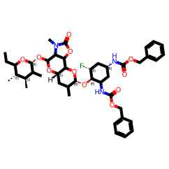 CCC1O[C@H](OC2O[C@H]3CC(C)[C@@H](O[C@@H]4C(NC(=O)OCc5ccccc5)C[C@@H](NC(=O)OCc5ccccc5)C[C@H]4F)OC3C3OC(=O)N(C)C23)C(C)[C@@H](C)[C@@H]1C